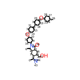 C=C(C1CC2C(=C)N(c3ccc(Oc4ccc(-c5ccc(Oc6ccc(C)cc6)cc5)cc4)cc3)C(=O)C2CC1CO)N(C)C